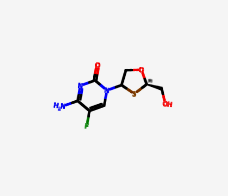 Nc1nc(=O)n(C2CO[C@@H](CO)S2)cc1F